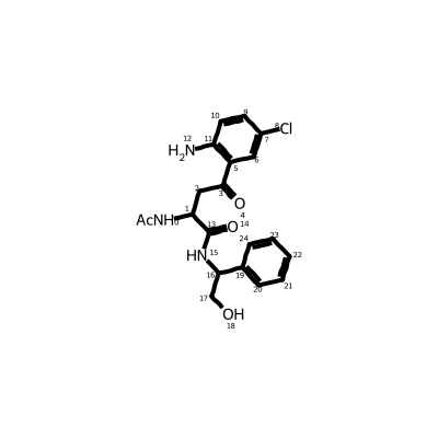 CC(=O)NC(CC(=O)c1cc(Cl)ccc1N)C(=O)NC(CO)c1ccccc1